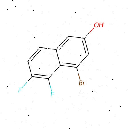 Oc1cc(Br)c2c(F)c(F)ccc2c1